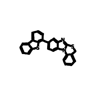 c1ccc2c(c1)CSc1nc3cc(-c4cccc5c4sc4ccccc45)ccc3n1-2